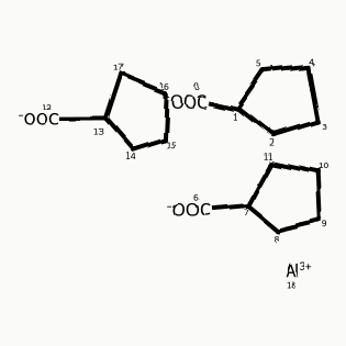 O=C([O-])C1CCCC1.O=C([O-])C1CCCC1.O=C([O-])C1CCCC1.[Al+3]